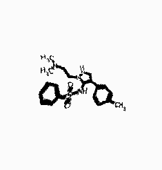 Cc1ccc(C2=C(NS(=O)(=O)c3ccccc3)N(CCN(C)C)NC2)cc1